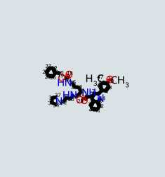 COc1ccc(-c2cc(C(=O)NC(CCCNC(=O)OCc3ccccc3)C(=O)NCCCN3CCCC3)c3ccccc3n2)cc1C